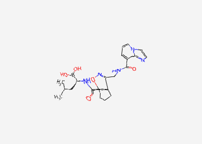 CC(C)C[C@H](NC(=O)C12CCCC1C(CNC(=O)c1cccn3ccnc13)=NO2)B(O)O